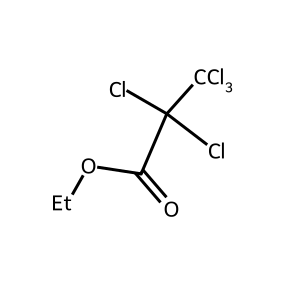 CCOC(=O)C(Cl)(Cl)C(Cl)(Cl)Cl